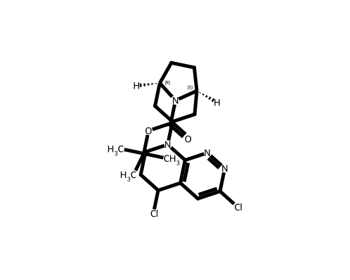 CC(C)(C)OC(=O)N1[C@@H]2CC[C@H]1CC(N1CCC(Cl)c3cc(Cl)nnc31)C2